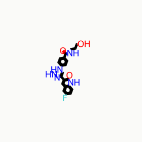 N=N/C(=C\Nc1ccc(C(=O)NCCCO)cc1)c1cc2cc(F)ccc2[nH]c1=O